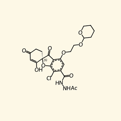 CC(=O)NNC(=O)c1cc(OCCOC2CCCCO2)c2c(c1Cl)O[C@]1(CCC(=O)C=C1O)C2=O